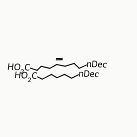 C=C.CCCCCCCCCCCCCCCC(=O)O.CCCCCCCCCCCCCCCCCC(=O)O